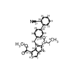 CC[S+]([O-])c1nc2csc(C(=O)OC)c2n1Cc1ccc(-c2ccccc2C#N)cc1